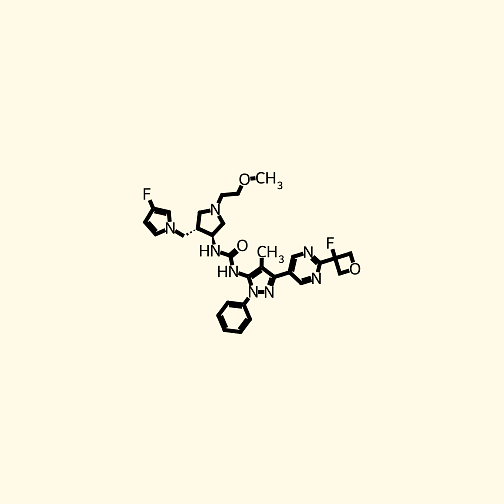 COCCN1C[C@@H](Cn2ccc(F)c2)[C@H](NC(=O)Nc2c(C)c(-c3cnc(C4(F)COC4)nc3)nn2-c2ccccc2)C1